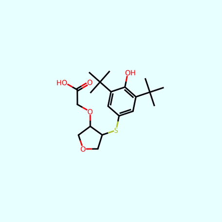 CC(C)(C)c1cc(SC2COCC2OCC(=O)O)cc(C(C)(C)C)c1O